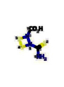 NC(=S)N1SSN1C(=O)O